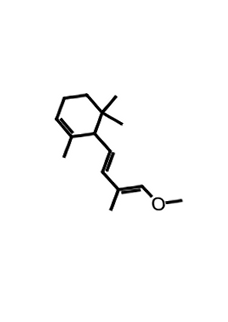 COC=C(C)C=CC1C(C)=CCCC1(C)C